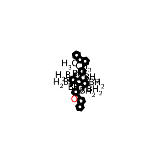 Bc1c(B)c(B)c2c(-c3ccc4oc5c6ccccc6ccc5c4c3)c3c(B)c(B)c(B)c(B)c3c(-c3ccc(-c4cccc5c4C(C)(C)c4ccccc4-5)cc3)c2c1B